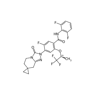 C[C@H](Oc1cc(-n2nc3n(c2=O)CCC2(CC2)C3)c(F)cc1C(=O)Nc1c(F)cccc1F)C(F)(F)F